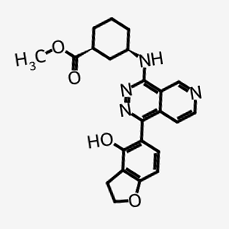 COC(=O)[C@H]1CCC[C@@H](Nc2nnc(-c3ccc4c(c3O)CCO4)c3ccncc23)C1